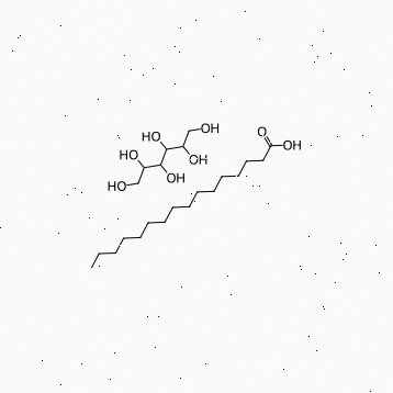 CCCCCCCCCCCCCCCC(=O)O.OCC(O)C(O)C(O)C(O)CO